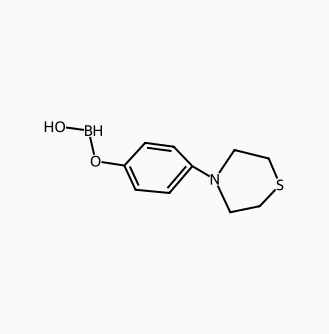 OBOc1ccc(N2CCSCC2)cc1